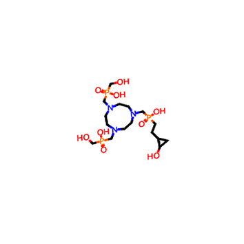 O=P(O)(CO)CN1CCN(CP(=O)(O)CO)CCN(CP(=O)(O)CCC2CC2O)CC1